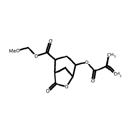 C=C(C)C(=O)OC1CC(C(=O)OCOC)C2CC1OC2=O